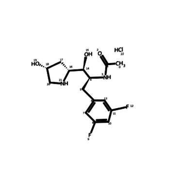 CC(=O)N[C@@H](Cc1cc(F)cc(F)c1)[C@H](O)[C@H]1C[C@@H](O)CN1.Cl